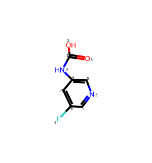 O=C(O)Nc1cncc(F)c1